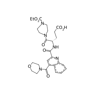 CCOC(=O)N1CCN(C(=O)[C@H](CCC(=O)O)NC(=O)c2cc(C(=O)N3CCOCC3)c3ccccc3n2)CC1